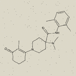 Cc1cccc(C)c1NC(=O)C1(N(C)C)CCN(C2=C(I)C(=O)CCC2)CC1